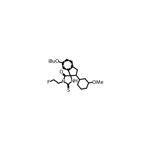 COC1CCCC(C2Cc3ccc(OCC(C)C)cc3C23NC(=S)N(CCF)C3=O)C1